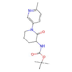 Cc1ccc(N2CCCC(NC(=O)OC(C)(C)C)C2=O)cn1